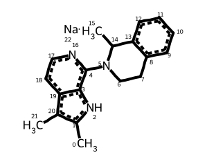 Cc1[nH]c2c(N3CCc4ccccc4C3C)nccc2c1C.[Na]